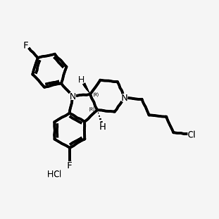 Cl.Fc1ccc(N2c3ccc(F)cc3[C@@H]3CN(CCCCCl)CC[C@H]32)cc1